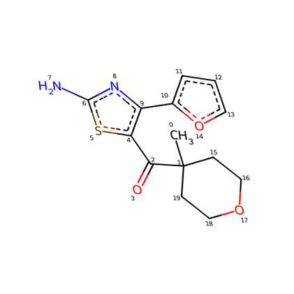 CC1(C(=O)c2sc(N)nc2-c2ccco2)CCOCC1